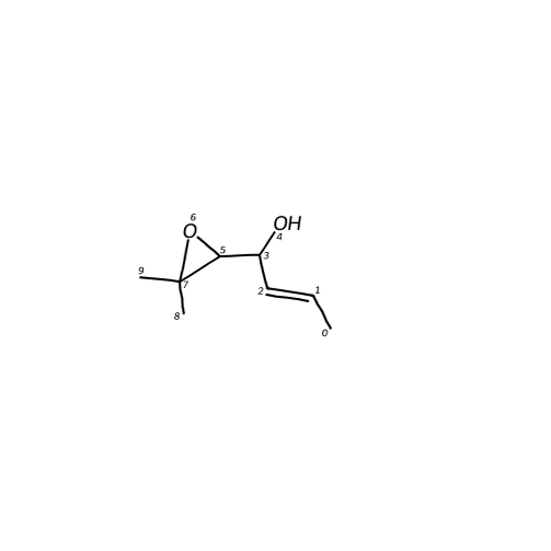 CC=CC(O)C1OC1(C)C